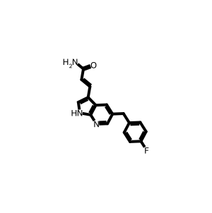 NC(=O)C=Cc1c[nH]c2ncc(Cc3ccc(F)cc3)cc12